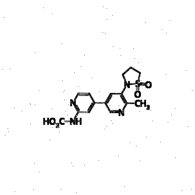 Cc1ncc(-c2ccnc(NC(=O)O)c2)cc1N1CCCS1(=O)=O